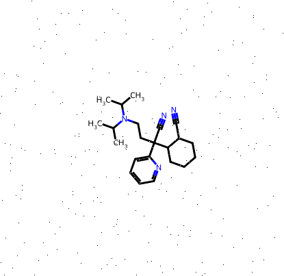 CC(C)N(CCC(C#N)(c1ccccn1)C1CCCCC1C#N)C(C)C